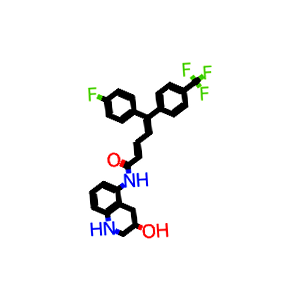 O=C(/C=C/C=C(\c1ccc(F)cc1)c1ccc(C(F)(F)F)cc1)Nc1cccc2c1CC(O)CN2